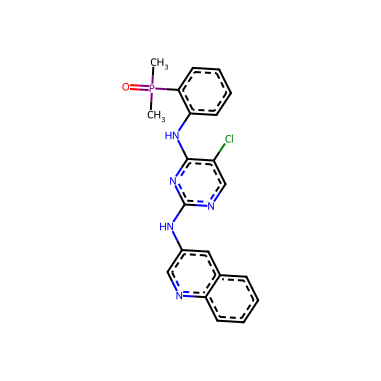 CP(C)(=O)c1ccccc1Nc1nc(Nc2cnc3ccccc3c2)ncc1Cl